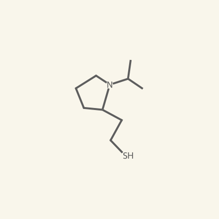 CC(C)N1CCCC1CCS